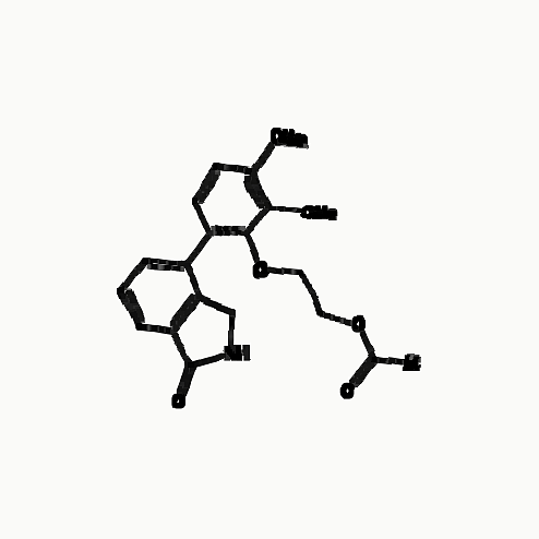 CCC(=O)OCCOc1c(-c2cccc3c2CNC3=O)ccc(OC)c1OC